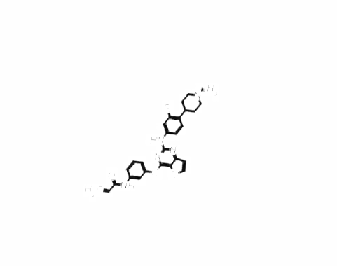 C=CC(=O)Nc1cccc(Oc2nc(Nc3ccc(C4CCN(C)CC4)c(F)c3)nc3ccoc23)c1